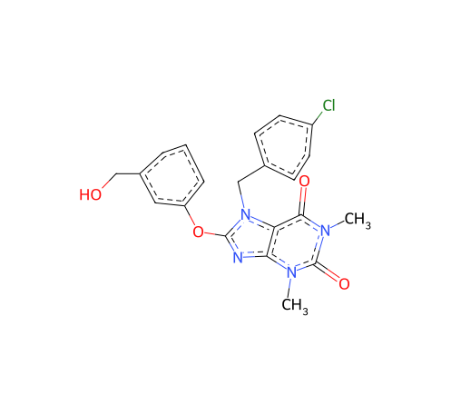 Cn1c(=O)c2c(nc(Oc3cccc(CO)c3)n2Cc2ccc(Cl)cc2)n(C)c1=O